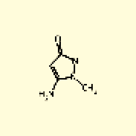 CN1[N]C(=O)C=C1N